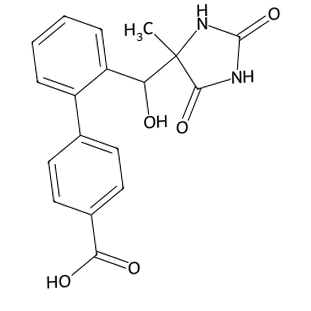 CC1(C(O)c2ccccc2-c2ccc(C(=O)O)cc2)NC(=O)NC1=O